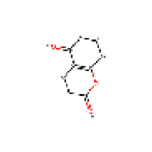 O=C1CCC2=C(CCCC2=O)O1